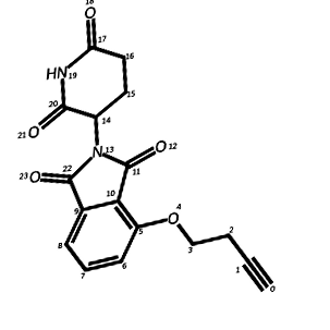 C#CCCOc1cccc2c1C(=O)N(C1CCC(=O)NC1=O)C2=O